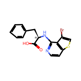 O=C(O)[C@@H](Cc1ccccc1)Nc1nccc2scc(Br)c12